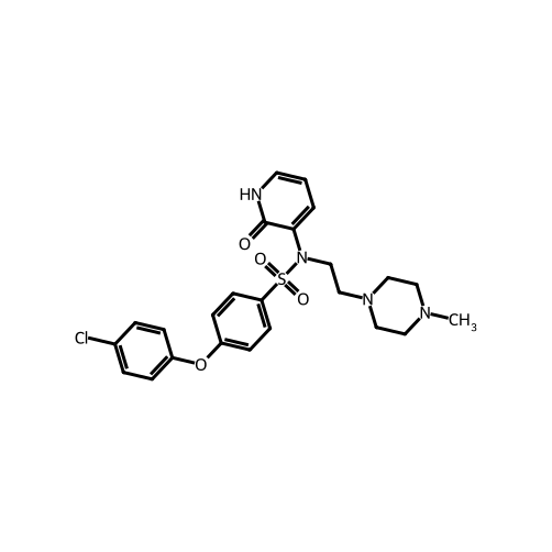 CN1CCN(CCN(c2ccc[nH]c2=O)S(=O)(=O)c2ccc(Oc3ccc(Cl)cc3)cc2)CC1